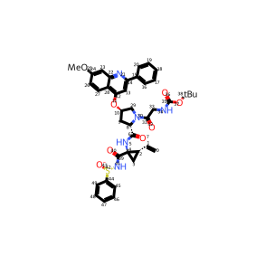 C=C[C@@H]1C[C@]1(NC(=O)[C@@H]1C[C@@H](Oc2cc(-c3ccccc3)nc3cc(OC)ccc23)CN1C(=O)CNC(=O)OC(C)(C)C)C(=O)N[S+]([O-])c1ccccc1